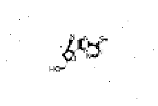 CSc1ncnn2c([C@@H]3O[C@H](CO)C[C@@]3(C)C#N)cnc12